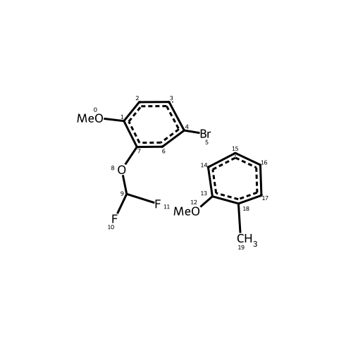 COc1c[c]c(Br)cc1OC(F)F.COc1c[c]ccc1C